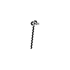 CCCCCCCCCCCCCCCCCCN1CCC[N+]2=C1NCCC2